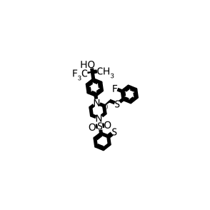 C[C@@](O)(c1ccc(N2CCN(S(=O)(=O)C3=CC=CCC3=S)C[C@@H]2CSc2ccccc2F)cc1)C(F)(F)F